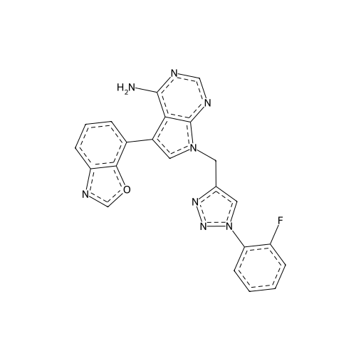 Nc1ncnc2c1c(-c1cccc3ncoc13)cn2Cc1cn(-c2ccccc2F)nn1